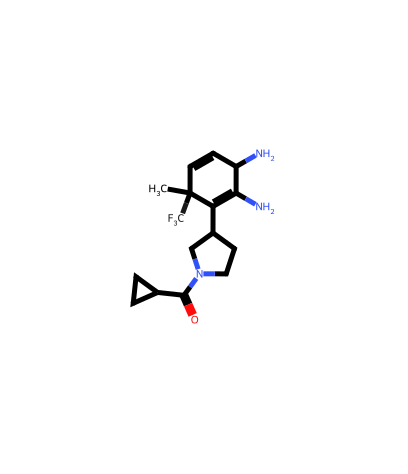 CC1(C(F)(F)F)C=CC(N)C(N)=C1C1CCN(C(=O)C2CC2)C1